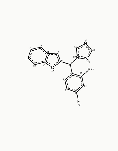 Fc1ccc(C(c2cc3ccccc3o2)n2cncn2)c(F)c1